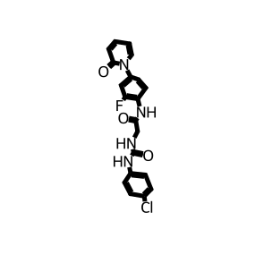 O=C(CNC(=O)Nc1ccc(Cl)cc1)Nc1ccc(-n2ccccc2=O)cc1F